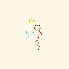 CCOCCOc1ccc(S)cc1.FC(F)F